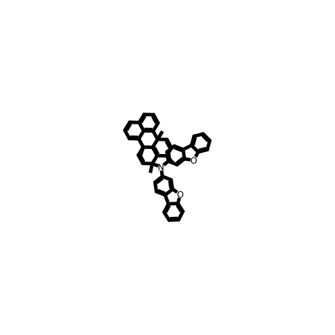 CC1C=CC2(C)C3=C1C(C)(N(c1ccc4c(c1)oc1ccccc14)c1ccc4c(c1)oc1ccccc14)C=CC3(C)c1cccc3cccc2c13